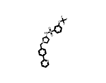 O=S(=O)(N[C@@H]1CCN(Cc2ccc(-c3ccccn3)cc2)C1)c1cccc(OC(F)(F)F)c1